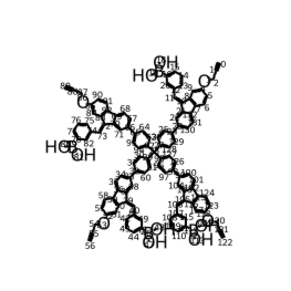 C#CCOc1ccc2c(c1)/C(=C\c1cccc(B(O)O)c1)c1cc(-c3ccc(C(c4ccc(-c5ccc6c(c5)/C(=C/c5cccc(B(O)O)c5)c5cc(OCC#C)ccc5-6)cc4)(c4ccc(-c5ccc6c(c5)/C(=C/c5cccc(B(O)O)c5)c5cc(OCC#C)ccc5-6)cc4)c4ccc(-c5ccc6c(c5)/C(=C/c5cccc(B(O)O)c5)c5cc(OCC#C)ccc5-6)cc4)cc3)ccc1-2